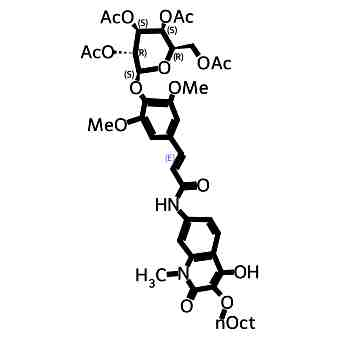 CCCCCCCCOc1c(O)c2ccc(NC(=O)/C=C/c3cc(OC)c(O[C@@H]4O[C@H](COC(C)=O)[C@H](OC(C)=O)[C@H](OC(C)=O)[C@H]4OC(C)=O)c(OC)c3)cc2n(C)c1=O